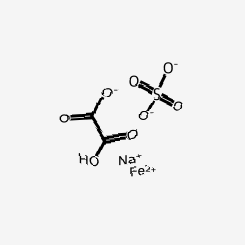 O=C([O-])C(=O)O.O=S(=O)([O-])[O-].[Fe+2].[Na+]